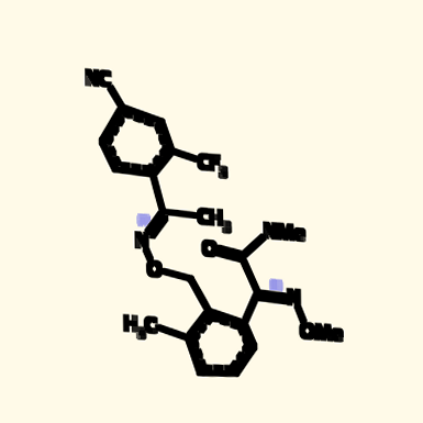 CNC(=O)/C(=N/OC)c1cccc(C)c1CO/N=C(\C)c1ccc(C#N)cc1C(F)(F)F